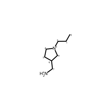 CCCN1CCC(CN)C1